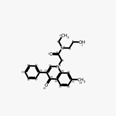 CCN(CCO)C(=O)Cn1cc(-c2ccccc2)c(=O)c2ccc(C)cc21